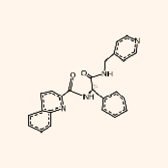 O=C(N[C@@H](C(=O)NCc1ccncc1)c1ccccc1)c1ccc2ccccc2n1